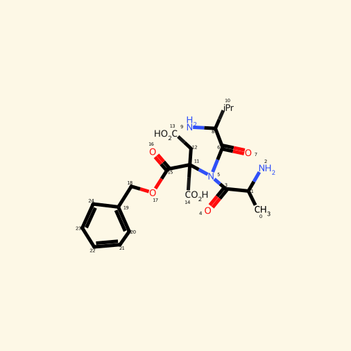 CC(N)C(=O)N(C(=O)C(N)C(C)C)C(CC(=O)O)(C(=O)O)C(=O)OCc1ccccc1